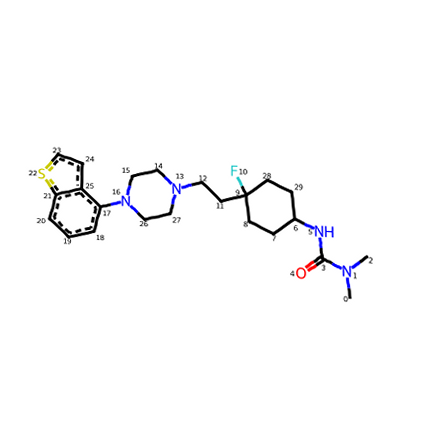 CN(C)C(=O)NC1CCC(F)(CCN2CCN(c3cccc4sccc34)CC2)CC1